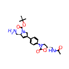 CC(=O)NC[C@H]1CN(c2ccc(C3=C[C@@H](CN)N(C(=O)OC(C)(C)C)C3)cc2)C(=O)O1